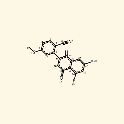 CSc1ccc(C#N)c(-c2cc(=O)c3c(F)cc(F)cc3[nH]2)c1